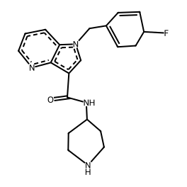 O=C(NC1CCNCC1)c1cn(CC2=CCC(F)C=C2)c2cccnc12